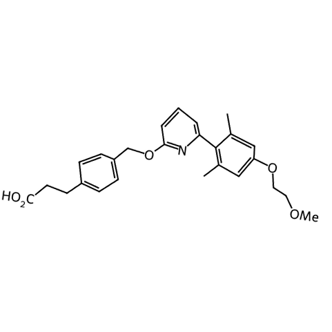 COCCOc1cc(C)c(-c2cccc(OCc3ccc(CCC(=O)O)cc3)n2)c(C)c1